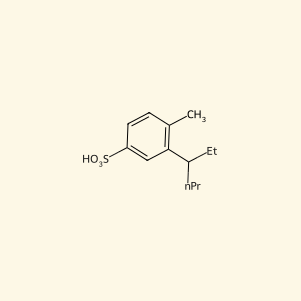 CCCC(CC)c1cc(S(=O)(=O)O)ccc1C